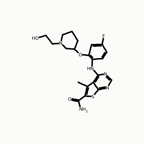 Cc1c(C(N)=O)sc2ncnc(Nc3ccc(F)cc3OC3CCCN(CCO)C3)c12